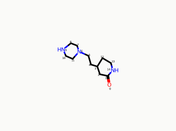 O=C1CC(CCN2CCNCC2)CCN1